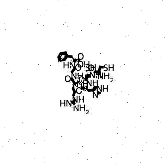 N=C(N)NCCC[C@H](NC(=O)[C@H](Cc1c[nH]cn1)NC(=O)[C@H](CS)NC(=O)[C@@H](N)CS)C(=O)NCC(=O)N[C@@H](Cc1ccccc1)C(=O)O